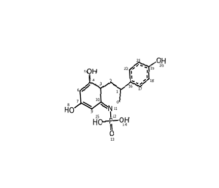 CC(CC1C(O)=CC(O)=CC1=NP(=O)(O)O)c1ccc(O)cc1